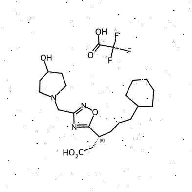 O=C(O)C(F)(F)F.O=C(O)C[C@@H](CCCC1CCCCC1)c1nc(CN2CCC(O)CC2)no1